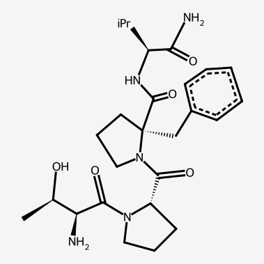 CC(C)[C@H](NC(=O)[C@]1(Cc2ccccc2)CCCN1C(=O)[C@@H]1CCCN1C(=O)[C@@H](N)[C@@H](C)O)C(N)=O